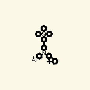 CC1(C)c2ccccc2-c2ccc(N(c3ccc(-c4ccc([Si](c5ccccc5)(c5ccccc5)c5ccccc5)cc4)cc3)c3ccc([Si](C)(C)C)cc3)cc21